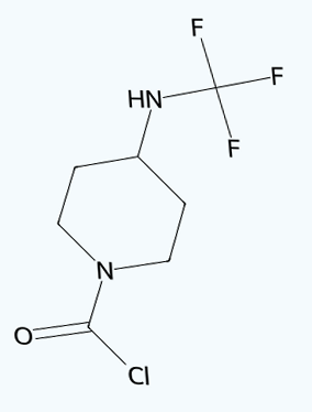 O=C(Cl)N1CCC(NC(F)(F)F)CC1